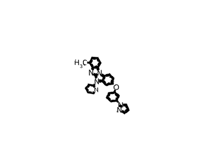 Cc1cccc2c1nc1n(-c3ccccn3)c3cc(Oc4cccc(-n5cccn5)c4)ccc3n21